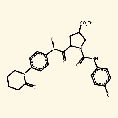 CCOC(=O)C1CC(C(=O)N(F)c2ccc(N3CCCCC3=O)cc2)N(C(=O)Nc2ccc(Cl)cc2)C1